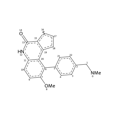 CNCc1ccc(-c2c(OC)ccc3[nH]c(=O)c4sccc4c23)cc1